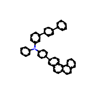 c1ccc(-c2ccc(-c3cccc(N(c4ccccc4)c4ccc(-c5ccc6c(ccc7ccc8ccccc8c76)c5)cc4)c3)cc2)cc1